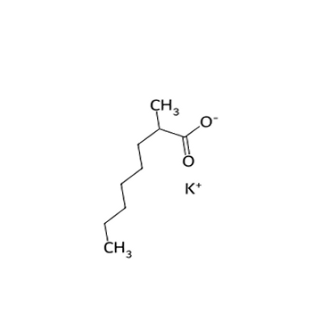 CCCCCCC(C)C(=O)[O-].[K+]